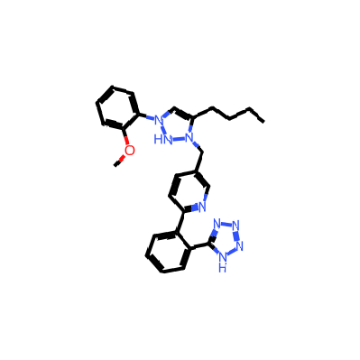 CCCCC1=CN(c2ccccc2OC)NN1Cc1ccc(-c2ccccc2-c2nnn[nH]2)nc1